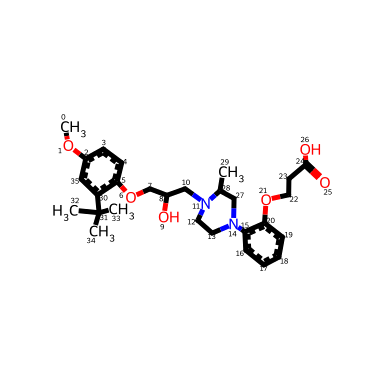 COc1ccc(OCC(O)CN2CCN(c3ccccc3OCCC(=O)O)CC2C)c(C(C)(C)C)c1